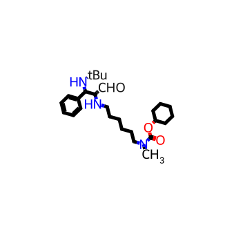 CN(CCCCCCNC(C=O)C(NC(C)(C)C)c1ccccc1)C(=O)OC1CCCCC1